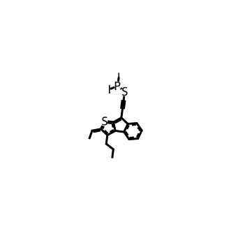 C/C=c1/sc2c(c1CCC)-c1ccccc1C=2C#CSP(I)I